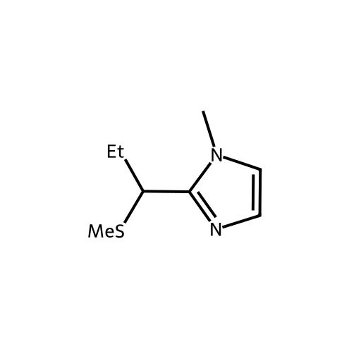 CCC(SC)c1nccn1C